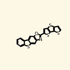 c1ccc2c(c1)sc1cc3nc(-c4cc5sc6ccsc6c5s4)oc3cc12